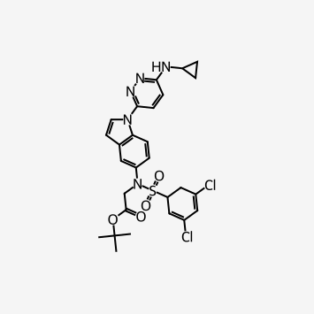 CC(C)(C)OC(=O)CN(c1ccc2c(ccn2-c2ccc(NC3CC3)nn2)c1)S(=O)(=O)C1C=C(Cl)C=C(Cl)C1